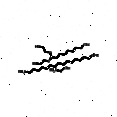 CCCCCCCCCCCC(=O)O.CCCCCCCCCCCCCCCCCCCCCCCCCC(=O)O.CCCCCCCCCCCCCCCCCN(OCCO)OCCO